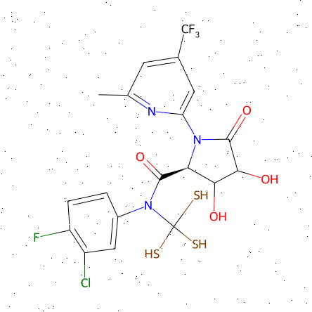 Cc1cc(C(F)(F)F)cc(N2C(=O)C(O)C(O)[C@H]2C(=O)N(c2ccc(F)c(Cl)c2)C(S)(S)S)n1